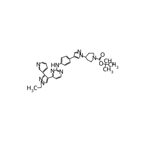 CCn1cc(-c2ccnc(Nc3ccc(-c4cnn(C5CCN(C(=O)OC(C)(C)C)CC5)c4)cc3)n2)c(-c2cccnc2)n1